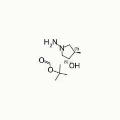 CC(C)(C)OC=O.C[C@@H]1CN(N)C[C@H]1O